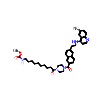 CC(C)(C)OC(=O)NCCCCCCCCCC(=O)N1CCN(C(=O)c2ccc3cc(CCNc4ccnc5ccc(C#N)cc45)ccc3c2)CC1